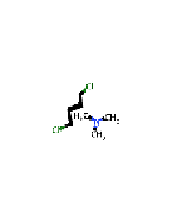 CN(C)C.ClCC=CCCl